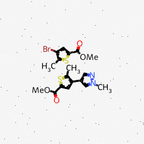 COC(=O)c1cc(-c2cnn(C)c2)c(C)s1.COC(=O)c1cc(Br)c(C)s1